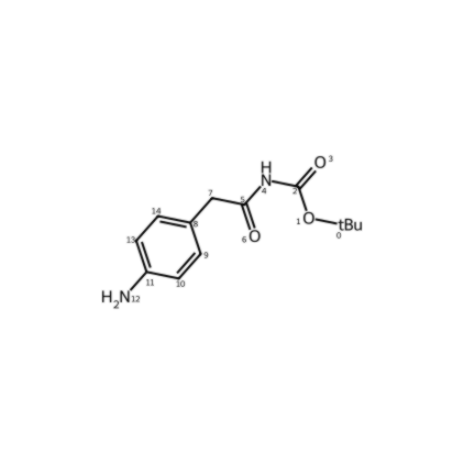 CC(C)(C)OC(=O)NC(=O)Cc1ccc(N)cc1